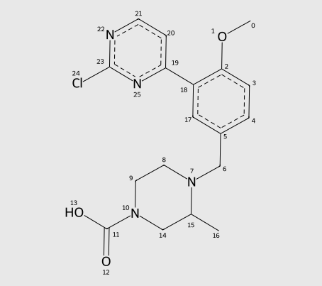 COc1ccc(CN2CCN(C(=O)O)CC2C)cc1-c1ccnc(Cl)n1